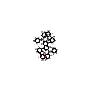 c1ccc(N(c2ccccc2)c2cc3c(cc(N(c4ccccc4)c4ccccc4)c4c3c3cccc5c6ccccc6n4c53)c3c4cccc5c6ccccc6n(c23)c54)cc1